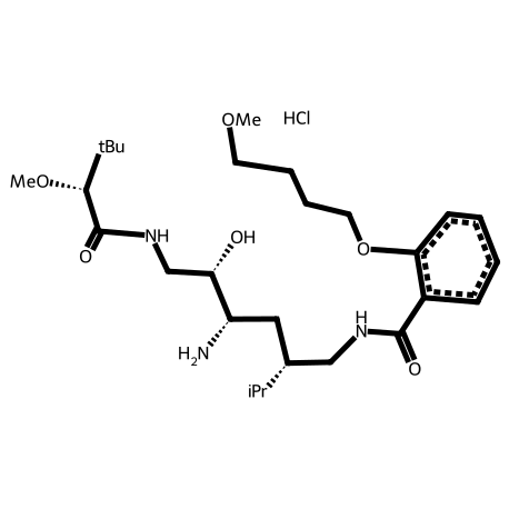 COCCCCOc1ccccc1C(=O)NC[C@@H](C[C@H](N)[C@@H](O)CNC(=O)[C@H](OC)C(C)(C)C)C(C)C.Cl